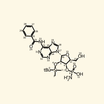 CC(C)(C)[Si](C)(C)O[C@@H]1[C@H](OP(N)(=O)O)[C@H](CO)O[C@H]1n1cnc2c(NC(=O)c3ccccc3)ncnc21